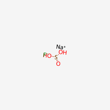 O=S(O)O.[F-].[Na+]